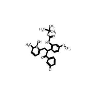 COc1ccc(C(CC2=CC=CC(C)N2O)C(=O)c2cccc(Cl)c2)c(NC(=O)OC(C)(C)C)c1